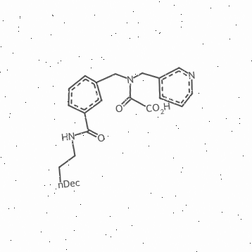 CCCCCCCCCCCCNC(=O)c1cccc(CN(Cc2cccnc2)C(=O)C(=O)O)c1